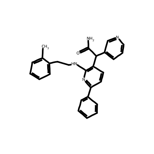 Cc1ccccc1CCNc1nc(-c2ccccc2)ccc1C(C(N)=O)c1cccnc1